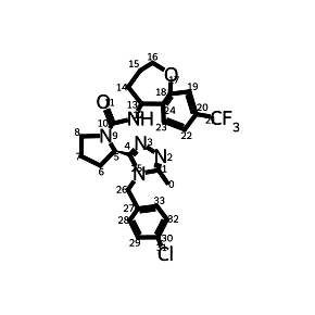 Cc1nnc([C@H]2CCCN2C(=O)NC2CCCOc3cc(C(F)(F)F)ccc32)n1Cc1ccc(Cl)cc1